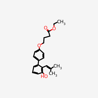 CCOC(=O)CCCOc1ccc(-c2cccc(O)c2C=C(C)C)cc1